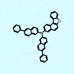 c1ccc(-c2ccc3cc(N(c4ccc5cc(-c6ccccc6)ccc5c4)c4ccc5c(ccc6oc7ccccc7c65)c4)ccc3c2)cc1